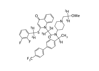 [2H]C([2H])(CN1CCC(N(C(=O)C([2H])([2H])n2c(SC([2H])([2H])c3cccc(F)c3F)cc(=O)c3ccccc32)C([2H])(C)c2ccc(-c3ccc(C(F)(F)F)cc3)cc2)CC1)OC